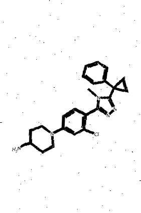 Cn1c(-c2ccc(N3CCC(N)CC3)cc2Cl)nnc1C1(c2ccccc2)CC1